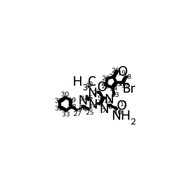 CCN1C(=O)c2c(nc(C(N)=O)n2CC2=C3C(Br)=COC=C3CC2)N2C[C@@H](Cc3ccccc3)N=C12